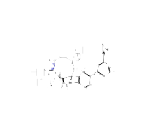 COC1CC/N=C(/N)N(C)C(=O)C2(Cc3ccc(-c4cccc(C#N)c4)cc32)C1